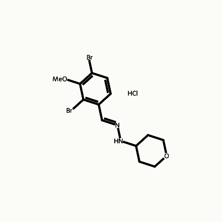 COc1c(Br)ccc(/C=N/NC2CCOCC2)c1Br.Cl